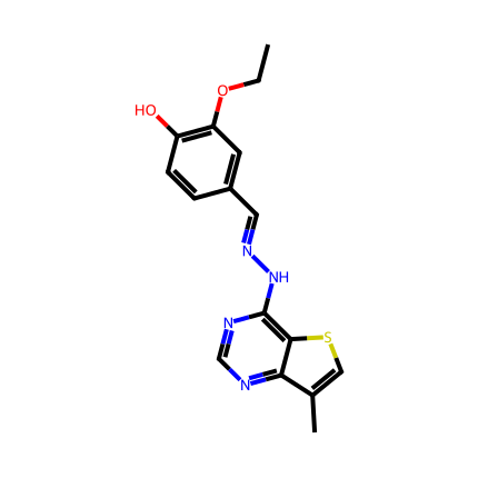 CCOc1cc(C=NNc2ncnc3c(C)csc23)ccc1O